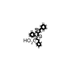 O=C(O)[C@H](Cc1ccccc1)N(C(=O)C(CS)CCc1ccccc1)c1ccccc1